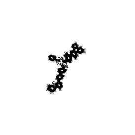 c1ccc(-c2nc(-c3ccc(-c4ccc(-c5cccc6c5sc5ccccc56)cc4)cc3)nc(-c3ccc(-c4ccc5c6ccccc6c6ccccc6c5c4)cc3)n2)cc1